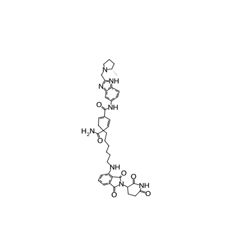 C[C@H]1CCCN1Cc1nc2cc(NC(=O)C3=CCC(CCCCCCNc4cccc5c4C(=O)N(C4CCC(=O)NC4=O)C5=O)(C(N)=O)C=C3)ccc2[nH]1